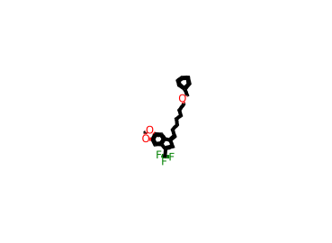 FC(F)(F)C1=C/C(=C/CCCCCCOCc2ccccc2)c2cc3c(cc21)OCO3